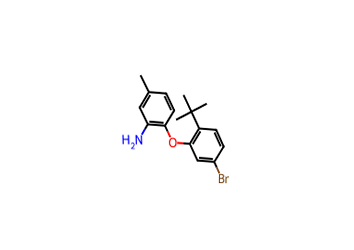 Cc1ccc(Oc2cc(Br)ccc2C(C)(C)C)c(N)c1